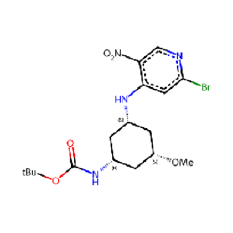 CO[C@@H]1C[C@H](NC(=O)OC(C)(C)C)C[C@H](Nc2cc(Br)ncc2[N+](=O)[O-])C1